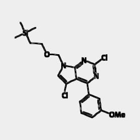 COc1cccc(-c2nc(Cl)nc3c2c(Cl)cn3COCC[Si](C)(C)C)c1